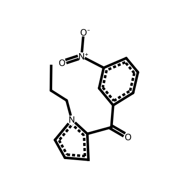 CCCn1cccc1C(=O)c1cccc([N+](=O)[O-])c1